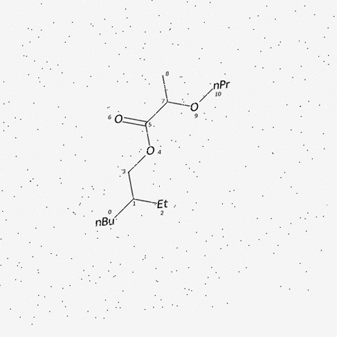 CCCCC(CC)COC(=O)C(C)OCCC